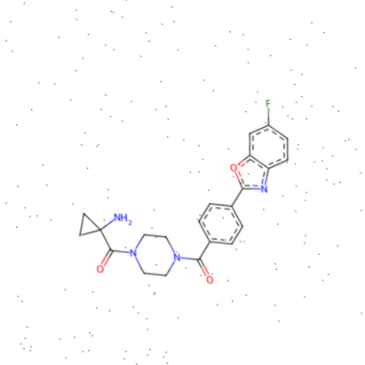 NC1(C(=O)N2CCN(C(=O)c3ccc(-c4nc5ccc(F)cc5o4)cc3)CC2)CC1